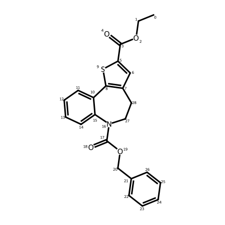 CCOC(=O)c1cc2c(s1)-c1ccccc1N(C(=O)OCc1ccccc1)CC2